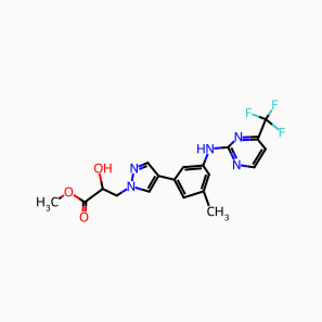 COC(=O)C(O)Cn1cc(-c2cc(C)cc(Nc3nccc(C(F)(F)F)n3)c2)cn1